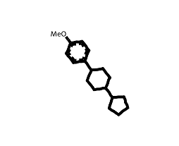 COc1ccc(C2CCC(C3CCCC3)CC2)cc1